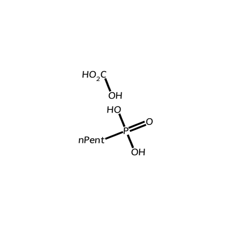 CCCCCP(=O)(O)O.O=C(O)O